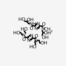 CN(C[C@@H](O)CO)C(=O)c1cnc(C(=O)NC[C@@H](O)CO)cn1.O=C(c1cnc(C(=O)N(CCO)CCO)cn1)N(CCO)CCO